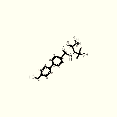 CC(C)(O)[C@H](NC(=O)c1ccc(-c2ccc(CO)cc2)cc1)C(=O)NO